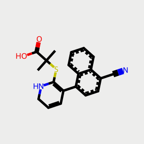 CC(C)(SC1=C(c2ccc(C#N)c3ccccc23)C=CCN1)C(=O)O